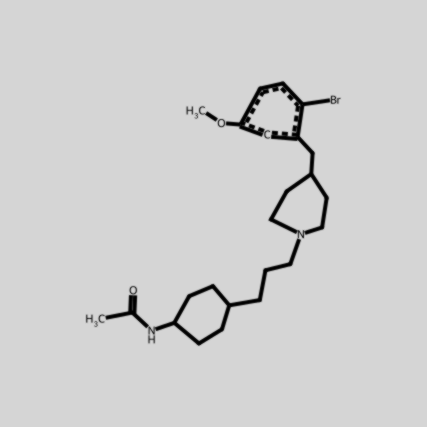 COc1ccc(Br)c(CC2CCN(CCCC3CCC(NC(C)=O)CC3)CC2)c1